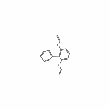 C=COc1cccc(OC=C)c1-c1ccccc1